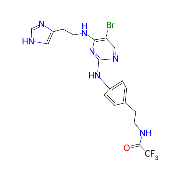 O=C(NCCc1ccc(Nc2ncc(Br)c(NCCc3c[nH]cn3)n2)cc1)C(F)(F)F